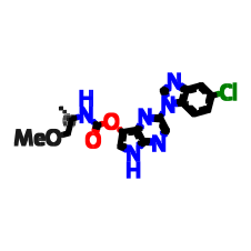 COC[C@H](C)NC(=O)Oc1c[nH]c2ncc(-n3cnc4cc(Cl)ccc43)nc12